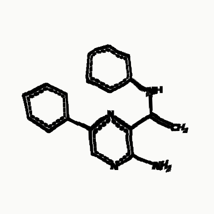 C=C(Nc1ccccc1)c1nc(-c2ccccc2)cnc1N